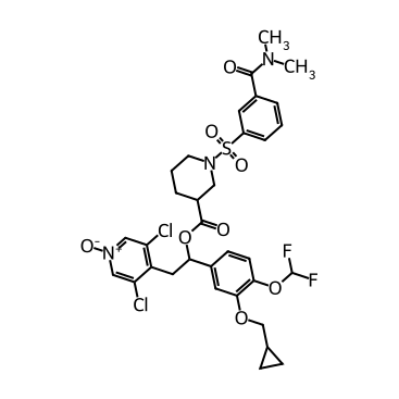 CN(C)C(=O)c1cccc(S(=O)(=O)N2CCCC(C(=O)OC(Cc3c(Cl)c[n+]([O-])cc3Cl)c3ccc(OC(F)F)c(OCC4CC4)c3)C2)c1